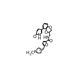 CN1CCN(Cc2ccc(C(=O)NCC3COc4cccc(-c5ccc(=O)[nH]c5)c4O3)o2)CC1